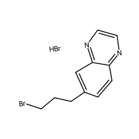 Br.BrCCCc1ccc2nccnc2c1